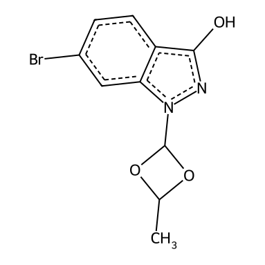 CC1OC(n2nc(O)c3ccc(Br)cc32)O1